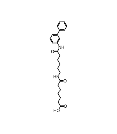 O=C(O)CCCSCC(=O)NCCCCCC(=O)Nc1cccc(-c2ccccc2)c1